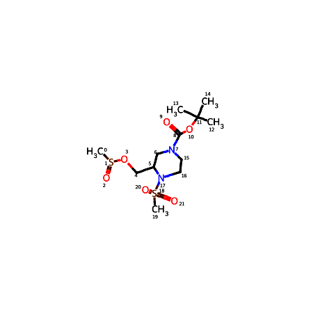 CS(=O)OCC1CN(C(=O)OC(C)(C)C)CCN1S(C)(=O)=O